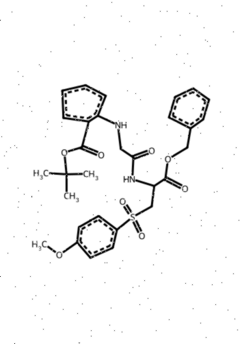 COc1ccc(S(=O)(=O)CC(NC(=O)CNc2ccccc2C(=O)OC(C)(C)C)C(=O)OCc2ccccc2)cc1